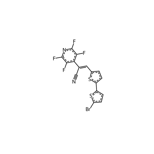 N#C/C(=C\c1ccc(-c2ccc(Br)s2)s1)c1c(F)c(F)nc(F)c1F